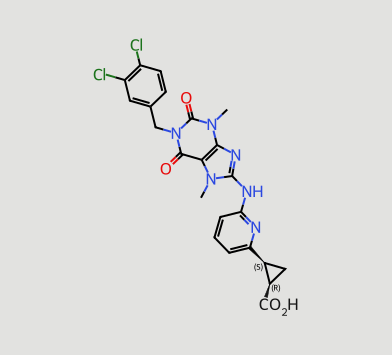 Cn1c(Nc2cccc([C@H]3C[C@H]3C(=O)O)n2)nc2c1c(=O)n(Cc1ccc(Cl)c(Cl)c1)c(=O)n2C